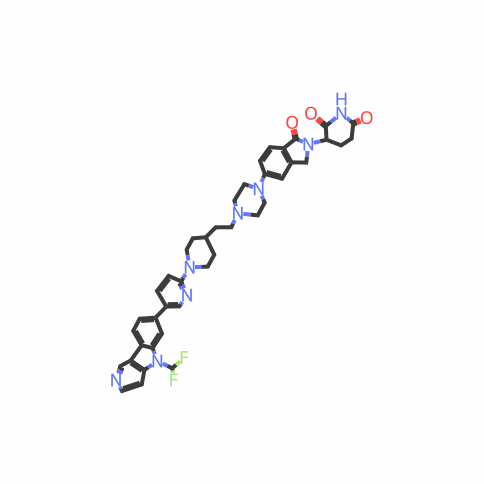 O=C1CCC(N2Cc3cc(N4CCN(CCC5CCN(c6ccc(-c7ccc8c9cnccc9n(C(F)F)c8c7)cn6)CC5)CC4)ccc3C2=O)C(=O)N1